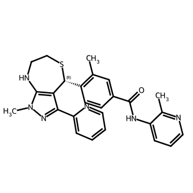 Cc1cc(C(=O)Nc2cccnc2C)ccc1[C@H]1SCCNc2c1c(-c1ccccn1)nn2C